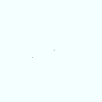 CCCc1ccc2c(c1)C(C)(C)c1cc(-c3ccc(-c4cccc(-c5ccc(-c6ccc7c(c6)C(C)(C)c6ccccc6-7)nc5)c4C(CC)(CC)c4cc(C)cc(C)c4)cn3)ccc1-2